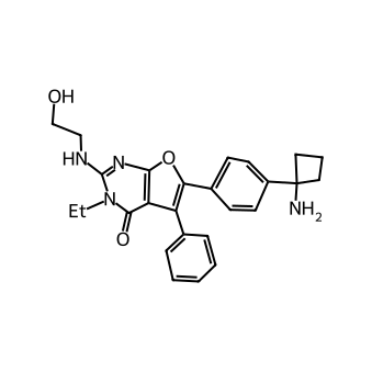 CCn1c(NCCO)nc2oc(-c3ccc(C4(N)CCC4)cc3)c(-c3ccccc3)c2c1=O